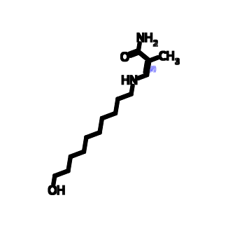 C/C(=C/NCCCCCCCCCCO)C(N)=O